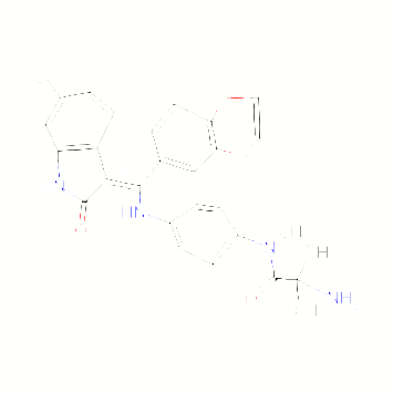 CN(C(=O)C(C)(C)N)c1ccc(N/C(=C2\C(=O)Nc3cc(Cl)ccc32)c2ccc3c(c2)OC=CO3)cc1